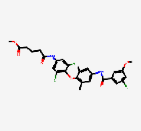 COC(=O)CCCC(=O)Nc1cc(Cl)c(Oc2c(C)cc(NC(=O)c3cc(F)cc(OC)c3)cc2C)c(Cl)c1